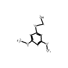 OCOc1cc(OC(F)(F)F)cc(OC(F)(F)F)c1